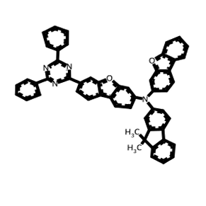 CC1(C)c2ccccc2-c2ccc(N(c3ccc4c(c3)oc3ccccc34)c3ccc4c(c3)oc3cc(-c5nc(-c6ccccc6)nc(-c6ccccc6)n5)ccc34)cc21